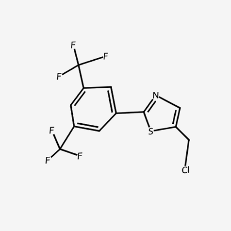 FC(F)(F)c1cc(-c2ncc(CCl)s2)cc(C(F)(F)F)c1